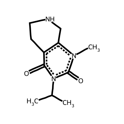 CC(C)n1c(=O)c2c(n(C)c1=O)CNCC2